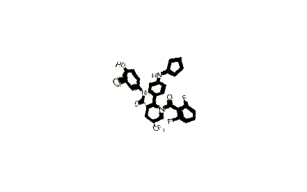 O=C(Nc1ccc(O)c(Cl)c1)[C@H]1C[C@@H](C(F)(F)F)CN(C(=O)c2c(F)cccc2F)C1c1ccc(NC2CCCC2)cc1